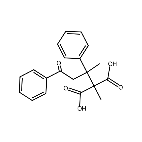 CC(C(=O)O)(C(=O)O)C(C)(CC(=O)c1ccccc1)c1ccccc1